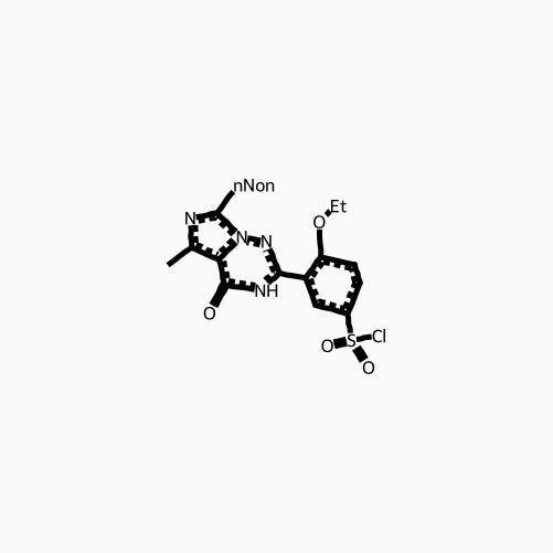 CCCCCCCCCc1nc(C)c2c(=O)[nH]c(-c3cc(S(=O)(=O)Cl)ccc3OCC)nn12